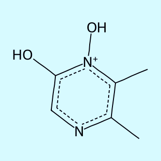 Cc1ncc(O)[n+](O)c1C